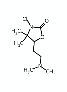 CN(C)CCC1OC(=O)N(Cl)C1(C)C